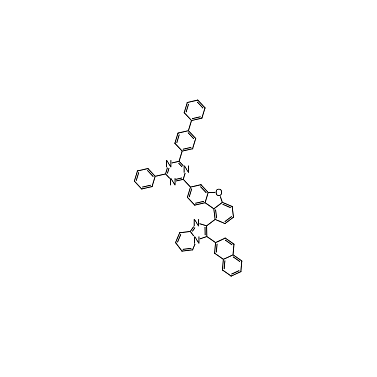 c1ccc(-c2ccc(-c3nc(-c4ccccc4)nc(-c4ccc5c(c4)oc4cccc(-c6nc7ccccn7c6-c6ccc7ccccc7c6)c45)n3)cc2)cc1